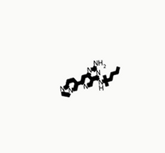 CCCCC(C)(C)Nc1nc(N)nc2cc(-c3ccc4nccn4c3)ncc12